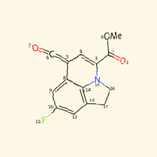 COC(=O)C1=CC(=C=O)c2cc(F)cc3c2N1CC3